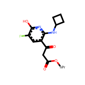 CCCOC(=O)CC(=O)c1cc(F)c(O)nc1NC1CCC1